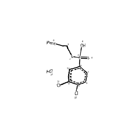 CCCC(C)CSP(O)(=S)c1ccc(Cl)c(Cl)c1.Cl